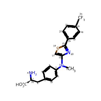 CN(c1ccc(C[C@H](N)C(=O)O)cc1)c1csc(-c2ccc(C(F)(F)F)cc2)n1